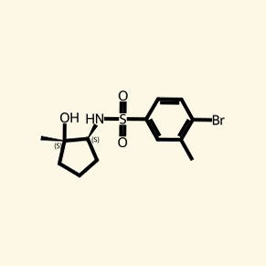 Cc1cc(S(=O)(=O)N[C@H]2CCC[C@]2(C)O)ccc1Br